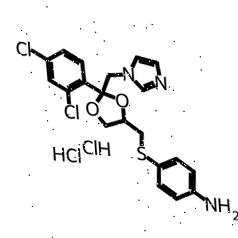 Cl.Cl.Nc1ccc(SCC2COC(Cn3ccnc3)(c3ccc(Cl)cc3Cl)O2)cc1